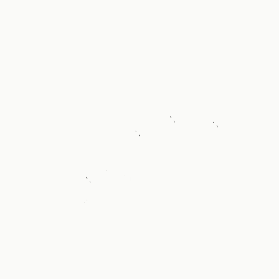 CC(c1nc(Nc2ccc(Cl)c3c2C(=O)N(C(=O)OC(C)(C)C)C3)ccc1C1CCOCC1)N(C)C